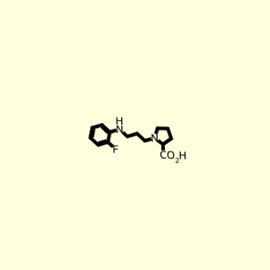 O=C(O)C1CCCN1CCCNc1ccccc1F